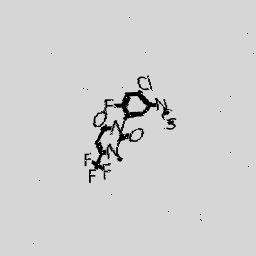 Cn1c(C(F)(F)F)cc(=O)n(-c2cc(N=C=S)c(Cl)cc2F)c1=O